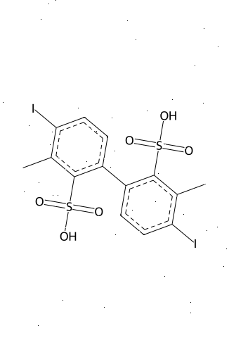 Cc1c(I)ccc(-c2ccc(I)c(C)c2S(=O)(=O)O)c1S(=O)(=O)O